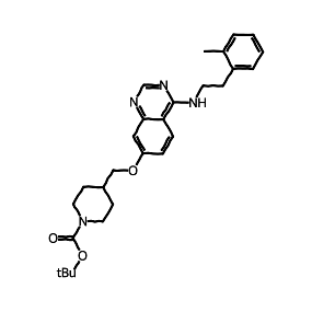 Cc1ccccc1CCNc1ncnc2cc(OCC3CCN(C(=O)OC(C)(C)C)CC3)ccc12